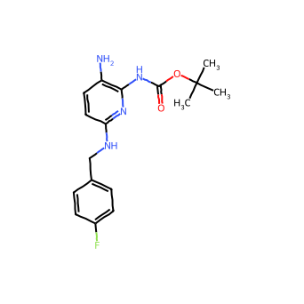 CC(C)(C)OC(=O)Nc1nc(NCc2ccc(F)cc2)ccc1N